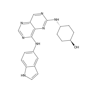 O[C@H]1CC[C@H](Nc2ncc3ncnc(Nc4ccc5[nH]ccc5c4)c3n2)CC1